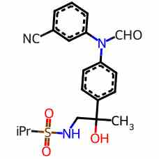 CC(C)S(=O)(=O)NCC(C)(O)c1ccc(N(C=O)c2cccc(C#N)c2)cc1